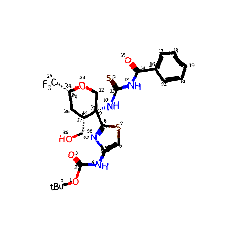 CC(C)(C)OC(=O)Nc1csc([C@]2(NC(=S)NC(=O)c3ccccc3)CO[C@@H](C(F)(F)F)C[C@H]2CO)n1